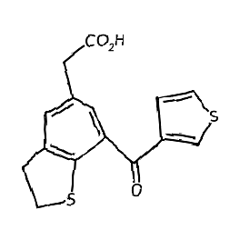 O=C(O)Cc1cc2c(c(C(=O)c3ccsc3)c1)SCC2